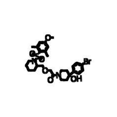 COc1cc(C)c(S(=O)(=O)N2CCCCC2COCC(=O)N2CCC(O)(c3ccc(Br)cc3)CC2)c(C)c1